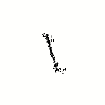 CC(C)(C)OC(=O)NOCC(=O)NCCOCCOCCOCCOCCOCCNC(=O)COCC(=O)O